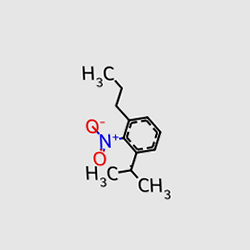 CCCc1cccc([C](C)C)c1[N+](=O)[O-]